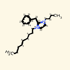 CCCCCCCCC[n+]1ccn(CCCC)c1Cc1ccccc1